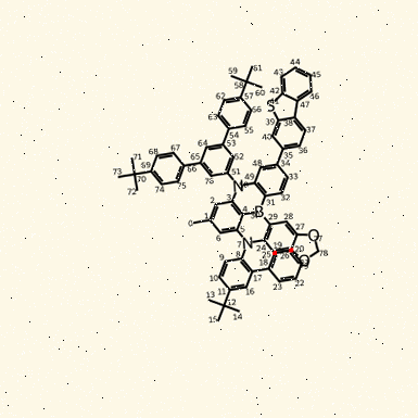 Cc1cc2c3c(c1)N(c1ccc(C(C)(C)C)cc1-c1ccccc1)c1cc4c(cc1B3c1ccc(-c3ccc5c(c3)sc3ccccc35)cc1N2c1cc(-c2ccc(C(C)(C)C)cc2)cc(-c2ccc(C(C)(C)C)cc2)c1)OCO4